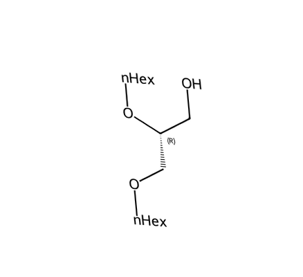 CCCCCCOC[C@@H](CO)OCCCCCC